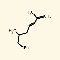 C=C(C)C=CCC(C)CC(C)(C)C